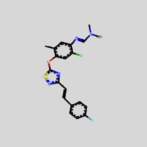 Cc1cc(N=CN(C)C(C)C)c(Cl)cc1Oc1nc(/C=C/c2ccc(F)cc2)ns1